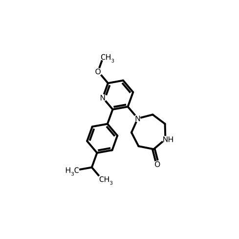 COc1ccc(N2CCNC(=O)CC2)c(-c2ccc(C(C)C)cc2)n1